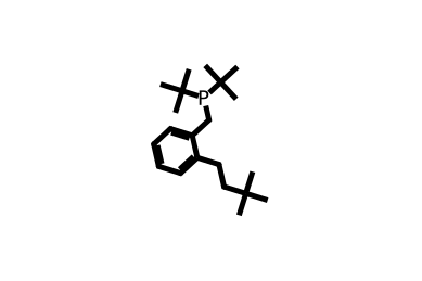 CC(C)(C)CCc1ccccc1CP(C(C)(C)C)C(C)(C)C